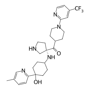 Cc1ccc(C2(O)CCC(N[C@@]3(C(=O)C4CCN(c5cc(C(F)(F)F)ccn5)CC4)CCNC3)CC2)nc1